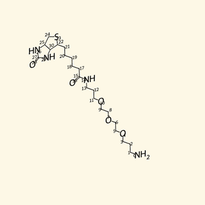 NCCCOCCOCCOCCCNC(=O)CCCCCC1SCC2NC(=O)NC21